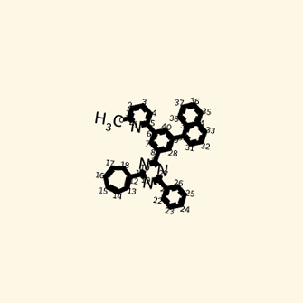 Cc1cccc(-c2cc(-c3nc(C4=CC=CC=CC4)nc(-c4ccccc4)n3)cc(-c3cccc4ccccc34)c2)n1